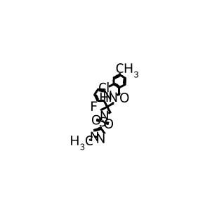 Cc1ccc(C(=O)NCC2(c3ncccc3F)CN(S(=O)(=O)c3cnn(C)c3)C2)c(Cl)c1